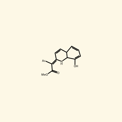 COC(=O)C(C(C)=O)=C1C=CC2C=CC=C(O)C2N1